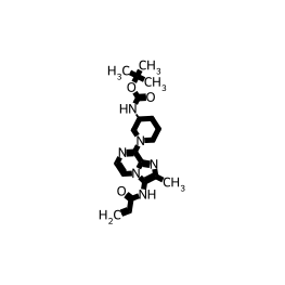 C=CC(=O)Nc1c(C)nc2c(N3CCC[C@@H](NC(=O)OC(C)(C)C)C3)nccn12